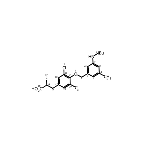 CCC(C)Nc1cc(C)cc(COc2c(Cl)cc(CC(F)C(=O)O)cc2Cl)c1